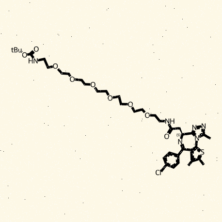 Cc1sc2c(c1C)C(c1ccc(Cl)cc1)=N[C@@H](CC(=O)NCCOCCOCCOCCOCCOCCOCCNC(=O)OC(C)(C)C)c1nnc(C)n1-2